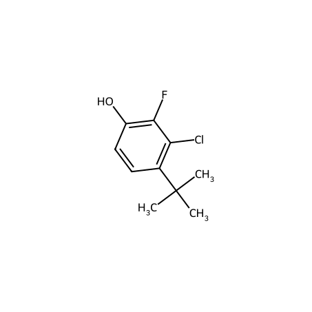 CC(C)(C)c1ccc(O)c(F)c1Cl